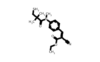 CCOC(=O)C(C#N)=Cc1ccc(N(C)C(=O)C(C)(C)C[SiH3])cc1